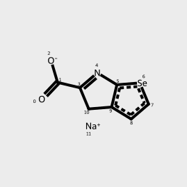 O=C([O-])C1=Nc2[se]ccc2C1.[Na+]